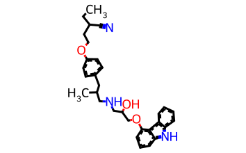 CCC(C#N)CCOc1ccc(CC(C)CNCC(O)COc2cccc3[nH]c4ccccc4c23)cc1